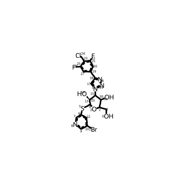 OCC1OC(Sc2cncc(Br)c2)[C@@H](O)C(n2cc(-c3cc(F)c(Cl)c(F)c3)nn2)C1O